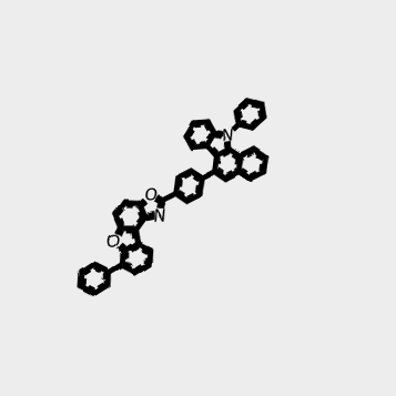 c1ccc(-c2cccc3c2oc2ccc4oc(-c5ccc(-c6cc7ccccc7c7c6c6ccccc6n7-c6ccccc6)cc5)nc4c23)cc1